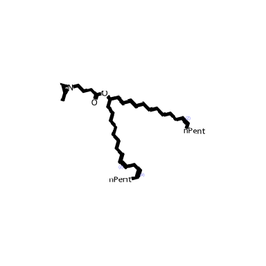 CCCCC/C=C\C/C=C\CCCCCCCCC(CCCCCCCCCC/C=C\CCCCC)OC(=O)CCCN1CC1C